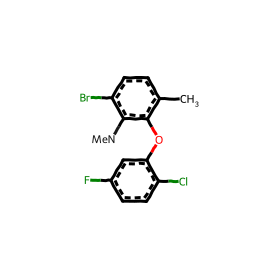 CNc1c(Br)ccc(C)c1Oc1cc(F)ccc1Cl